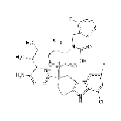 CCC(C)[C@H](NC(=O)[C@@]1(NC(=O)[C@H](C(C)CC)N(Cc2ccccc2F)C(=O)O)CCc2[nH]c3c(Cl)cc(F)cc3c2C1)C(N)=O